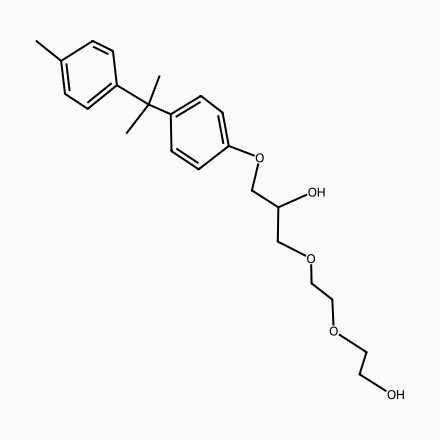 Cc1ccc(C(C)(C)c2ccc(OCC(O)COCCOCCO)cc2)cc1